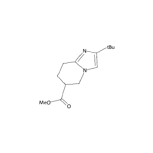 COC(=O)C1CCc2nc(C(C)(C)C)cn2C1